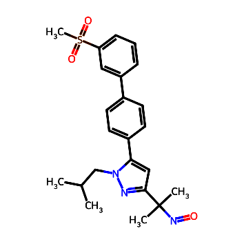 CC(C)Cn1nc(C(C)(C)N=O)cc1-c1ccc(-c2cccc(S(C)(=O)=O)c2)cc1